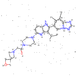 Cc1c(-c2[nH]c3ccc(N4CCN(C(=O)CN5CC6(COC6)C5)C[C@H]4C)nc3c2C(C)C)cn2ncnc2c1C